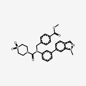 COC(=O)c1ccc(CN(C(=O)N2CCS(=O)(=O)CC2)c2cccc(-c3ccc4cnn(C)c4c3)c2)cc1